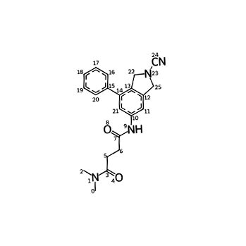 CN(C)C(=O)CCC(=O)Nc1cc2c(c(-c3ccccc3)c1)CN(C#N)C2